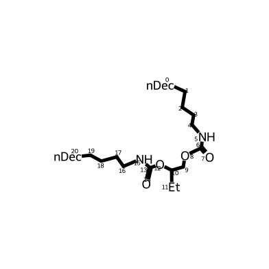 CCCCCCCCCCCCCCNC(=O)OCC(CC)OC(=O)NCCCCCCCCCCCCCC